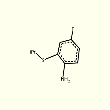 CC(C)Sc1cc(F)ccc1N